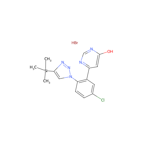 Br.C[Si](C)(C)c1cn(-c2ccc(Cl)cc2-c2cc(O)ncn2)nn1